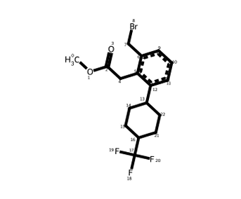 COC(=O)Cc1c(CBr)cccc1C1CCC(C(F)(F)F)CC1